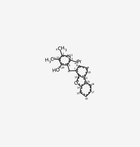 Cc1nc(C(C)C)c(Cc2cccc3c2oc2ccccc23)c(O)c1C